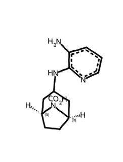 Nc1cccnc1NC1C[C@H]2CC[C@@H](C1)N2C(=O)O